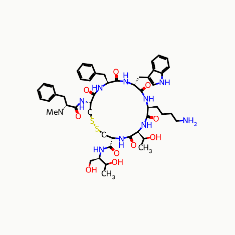 CN[C@H](Cc1ccccc1)C(=O)N[C@H]1CSSC[C@@H](C(=O)N[C@H](CO)C(C)O)NC(=O)[C@H](C(C)O)NC(=O)[C@H](CCCCN)NC(=O)[C@@H](Cc2c[nH]c3ccccc23)NC(=O)[C@H](Cc2ccccc2)NC1=O